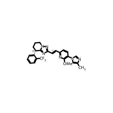 COc1nc(/C=C/c2nc3n(n2)CCC[C@H]3c2ccccc2C(F)(F)F)ccc1-n1cnc(C)c1